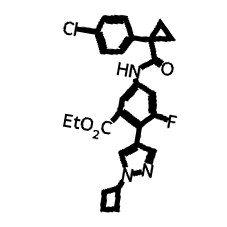 CCOC(=O)c1cc(NC(=O)C2(c3ccc(Cl)cc3)CC2)cc(F)c1-c1cnn(C2CCC2)c1